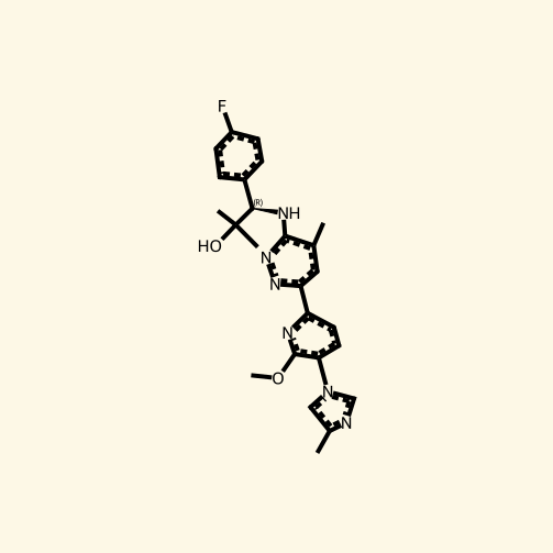 COc1nc(-c2cc(C)c(N[C@H](c3ccc(F)cc3)C(C)(C)O)nn2)ccc1-n1cnc(C)c1